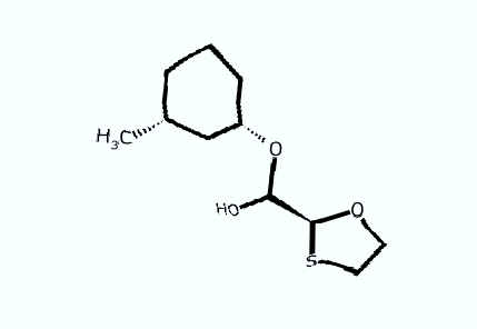 C[C@@H]1CCC[C@H](OC(O)[C@H]2OCCS2)C1